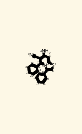 N#Cc1c(N)cc2scc(-c3ccccc3)[n+]2c1-c1ccccc1